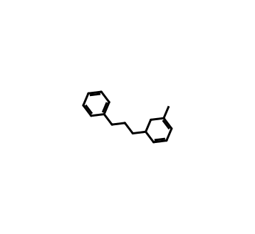 CC1=CC=CC(CCCc2ccccc2)C1